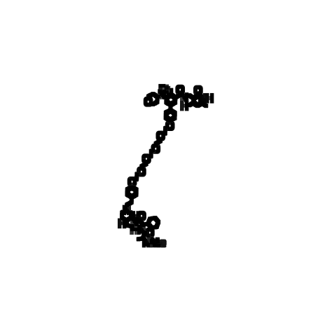 CCN(c1cc(-c2ccc(OCCOCCOCCOCCOCCOc3ccc(CCN4CC[C@@H]5CCN(C(=O)C(NC(=O)C(C)NC)C6CCCCC6)[C@@H]5C4)cc3)cc2)cc(C(=O)NCc2c(C)cc(C)[nH]c2=O)c1C)C1CCOCC1